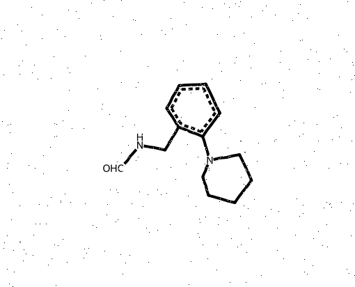 O=CNCc1ccccc1N1CCCCC1